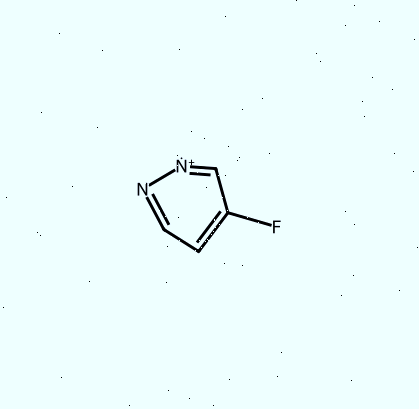 FC1=CC=N[N+]=C1